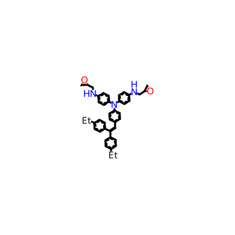 CCc1ccc(C(=Cc2ccc(N(c3ccc(NCC4CO4)cc3)c3ccc(NCC4CO4)cc3)cc2)c2ccc(CC)cc2)cc1